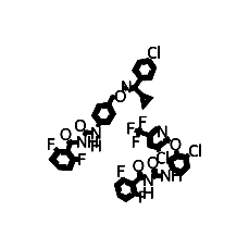 O=C(NC(=O)c1c(F)cccc1F)Nc1ccc(CO/N=C(/c2ccc(Cl)cc2)C2CC2)cc1.O=C(NC(=O)c1c(F)cccc1F)Nc1ccc(Cl)c(Oc2ncc(C(F)(F)F)cc2Cl)c1